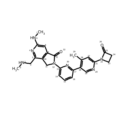 CNCc1nc(NC)cc2c1CN(c1cccc(-c3cnc(N4CCC4=O)cc3C)n1)C2=O